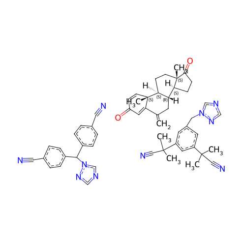 C=C1C[C@@H]2[C@H](CC[C@]3(C)C(=O)CC[C@@H]23)[C@@]2(C)C=CC(=O)C=C12.CC(C)(C#N)c1cc(Cn2cncn2)cc(C(C)(C)C#N)c1.N#Cc1ccc(C(c2ccc(C#N)cc2)n2cncn2)cc1